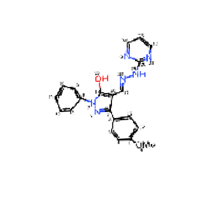 COc1ccc(-c2nn(-c3ccccc3)c(O)c2/C=N/Nc2ncccn2)cc1